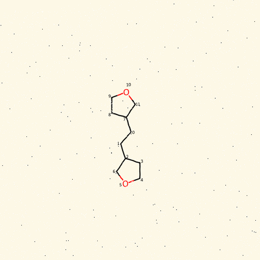 [CH](CC1CCOC1)C1CCOC1